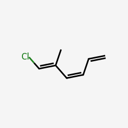 C=C/C=C\C(C)=C\Cl